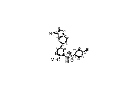 COc1ncc(-c2ccn3ncc(C#N)c3n2)cc1NS(=O)(=O)c1ccc(F)cc1